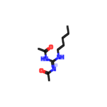 CCCCCN/C(=N/C(C)=O)NC(C)=O